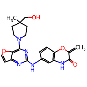 C=C1Oc2ccc(Nc3nc(N4CCC(C)(CO)CC4)c4occc4n3)cc2NC1=O